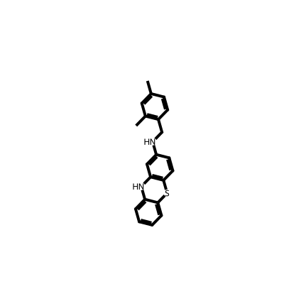 Cc1ccc(CNc2ccc3c(c2)Nc2ccccc2S3)c(C)c1